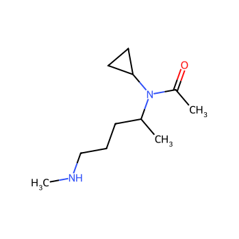 CNCCCC(C)N(C(C)=O)C1CC1